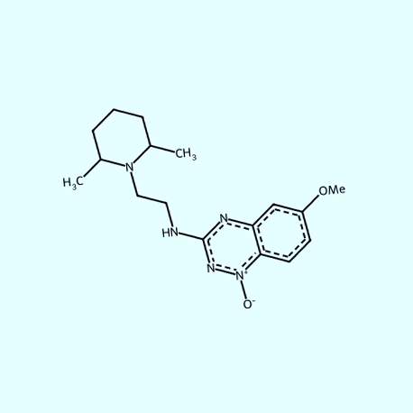 COc1ccc2c(c1)nc(NCCN1C(C)CCCC1C)n[n+]2[O-]